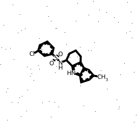 Cc1ccc2[nH]c3c(c2c1)CCCC3NS(=O)(=O)c1cccc(Cl)c1